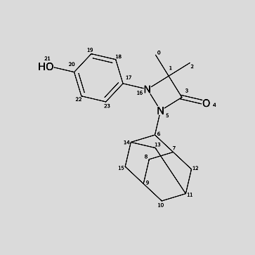 CC1(C)C(=O)N(C2C3CC4CC(C3)CC2C4)N1c1ccc(O)cc1